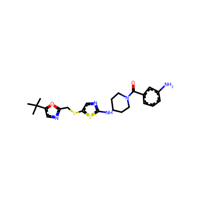 CC(C)(C)c1cnc(CSc2cnc(NC3CCN(C(=O)c4cccc(N)c4)CC3)s2)o1